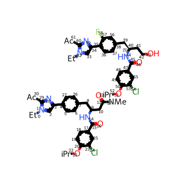 CCn1cc(-c2ccc(CC(CC(=O)NC)NC(=O)c3ccc(OC(C)C)c(Cl)c3)cc2)nc1C(C)=O.CCn1cc(-c2ccc(C[C@@H](CCO)NC(=O)c3ccc(OC(C)C)c(Cl)c3)cc2F)nc1C(C)=O